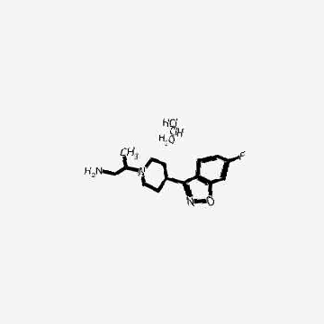 CC(CN)N1CCC(c2noc3cc(F)ccc23)CC1.Cl.Cl.O